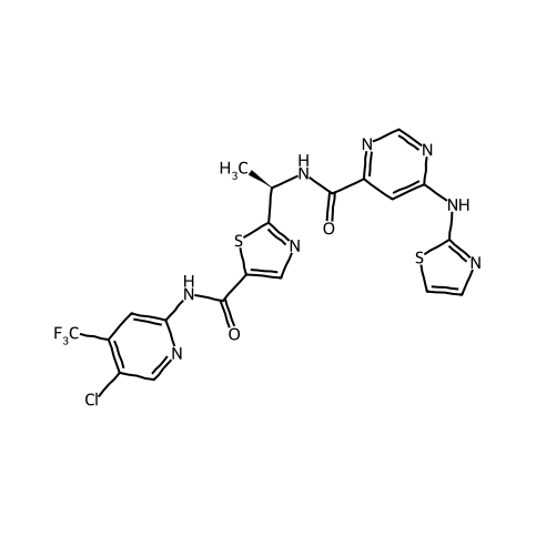 C[C@@H](NC(=O)c1cc(Nc2nccs2)ncn1)c1ncc(C(=O)Nc2cc(C(F)(F)F)c(Cl)cn2)s1